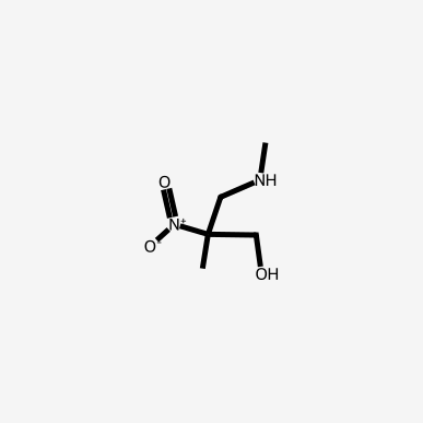 CNCC(C)(CO)[N+](=O)[O-]